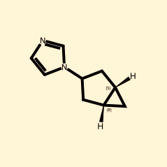 c1cn(C2C[C@@H]3C[C@@H]3C2)cn1